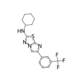 FC(F)(F)c1cccc(-c2cn3nc(NC4CCCCC4)sc3n2)c1